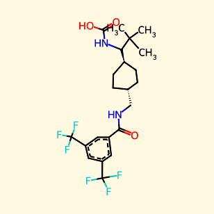 CC(C)(C)C(NC(=O)O)[C@H]1CC[C@H](CNC(=O)c2cc(C(F)(F)F)cc(C(F)(F)F)c2)CC1